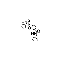 O=C(NCc1ccccn1)C1CCC(Cn2c(=S)[nH]c3ccccc3c2=O)CC1